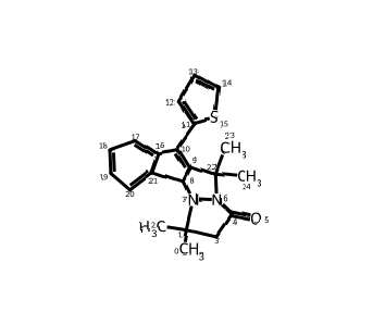 CC1(C)CC(=O)N2N1C1C(=C(c3cccs3)c3ccccc31)C2(C)C